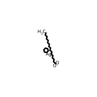 C1CCCCC1.CCCCCCCCCCCCCCCCCC(=O)[O-].[Ag+]